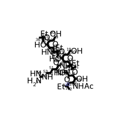 CC/C(C)=C1\OC(CO)C(OC(C)(CC)C(C)(CC)C2OC(CO)C(OC(C)(CC)C3(CC)NC4C(O)C(OC(C)(C)CC)C(CO)OC43)C(O)C2NC(=O)C(N)CCCNC(=N)N)C(O)C1NC(C)=O